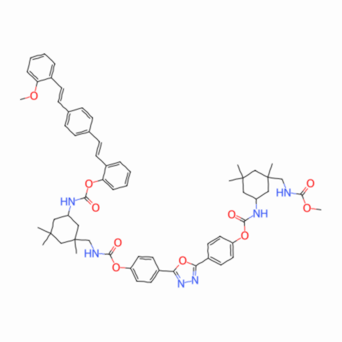 COC(=O)NCC1(C)CC(NC(=O)Oc2ccc(-c3nnc(-c4ccc(OC(=O)NCC5(C)CC(NC(=O)Oc6ccccc6/C=C/c6ccc(/C=C/c7ccccc7OC)cc6)CC(C)(C)C5)cc4)o3)cc2)CC(C)(C)C1